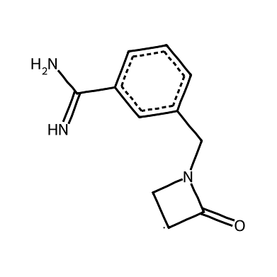 N=C(N)c1cccc(CN2C[CH]C2=O)c1